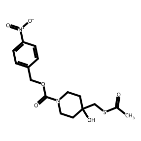 CC(=O)SCC1(O)CCN(C(=O)OCc2ccc([N+](=O)[O-])cc2)CC1